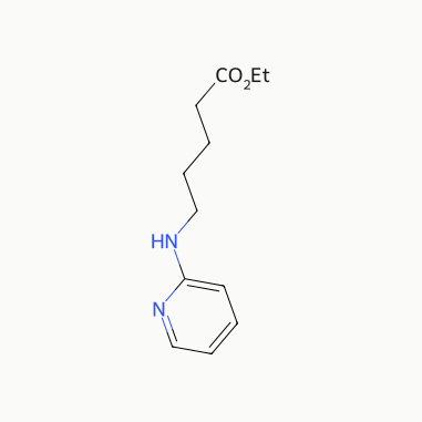 CCOC(=O)CCCCNc1ccccn1